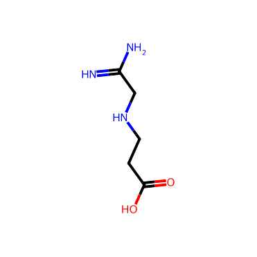 N=C(N)CNCCC(=O)O